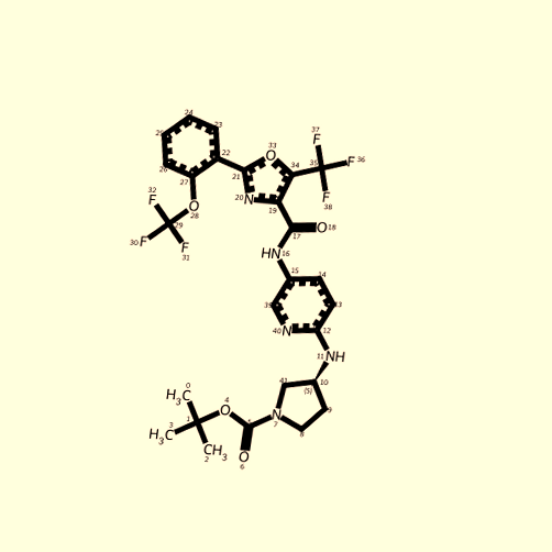 CC(C)(C)OC(=O)N1CC[C@H](Nc2ccc(NC(=O)c3nc(-c4ccccc4OC(F)(F)F)oc3C(F)(F)F)cn2)C1